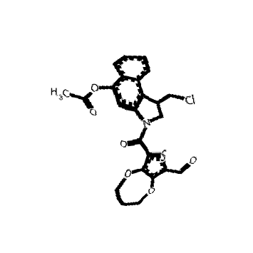 CC(=O)Oc1cc2c(c3ccccc13)C(CCl)CN2C(=O)c1sc(C=O)c2c1OCCCO2